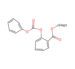 CCCCCCCOC(=O)c1ccccc1OC(=O)Oc1ccccc1